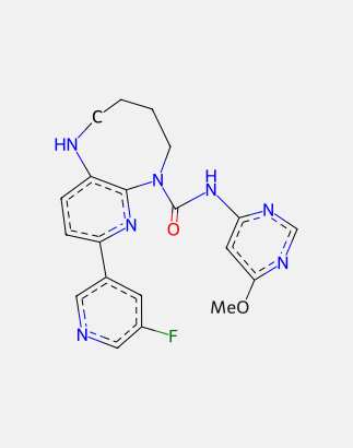 COc1cc(NC(=O)N2CCCCNc3ccc(-c4cncc(F)c4)nc32)ncn1